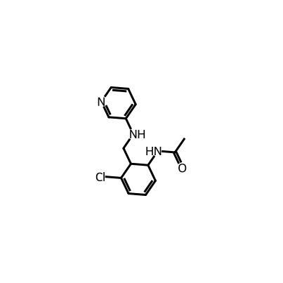 CC(=O)NC1C=CC=C(Cl)C1CNc1cccnc1